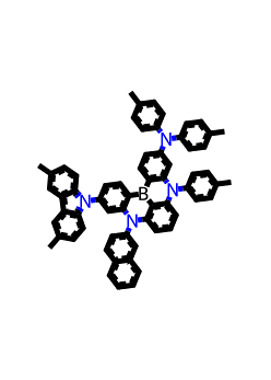 Cc1ccc(N(c2ccc(C)cc2)c2ccc3c(c2)N(c2ccc(C)cc2)c2cccc4c2B3c2ccc(-n3c5ccc(C)cc5c5cc(C)ccc53)cc2N4c2ccc3ccccc3c2)cc1